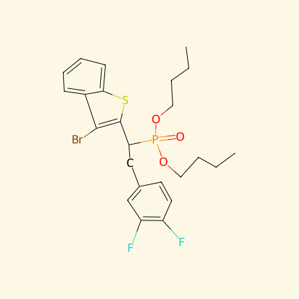 CCCCOP(=O)(OCCCC)C(Cc1ccc(F)c(F)c1)c1sc2ccccc2c1Br